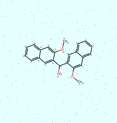 COc1cc2ccccc2cc1C(O)c1cc2ccccc2cc1OC